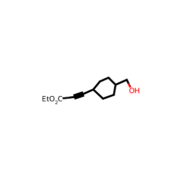 CCOC(=O)C#CC1CCC(CO)CC1